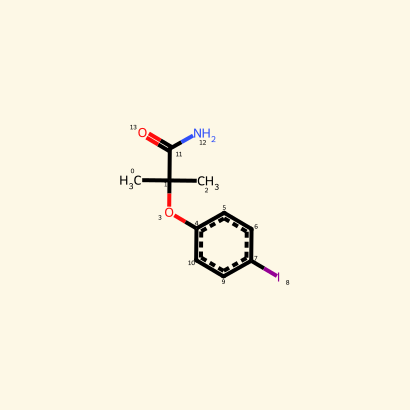 CC(C)(Oc1ccc(I)cc1)C(N)=O